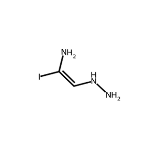 NN/C=C(\N)I